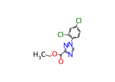 CCOC(=O)c1ncn(-c2ccc(Cl)cc2Cl)n1